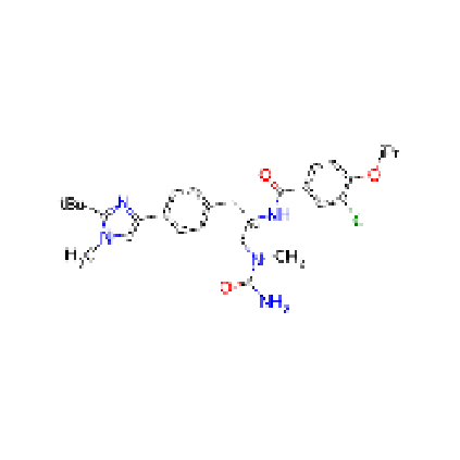 CC(C)Oc1ccc(C(=O)N[C@@H](Cc2ccc(-c3cn(C)c(C(C)(C)C)n3)cc2)CN(C)C(N)=O)cc1Cl